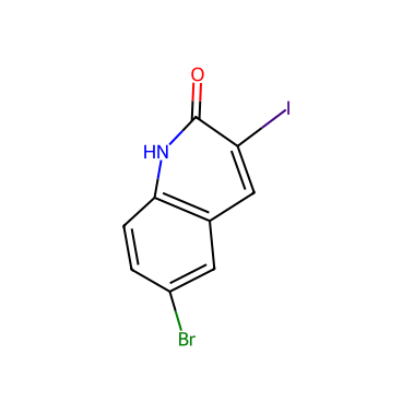 O=c1[nH]c2ccc(Br)cc2cc1I